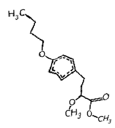 CCCCOc1ccc(CC(OC)C(=O)OC)cc1